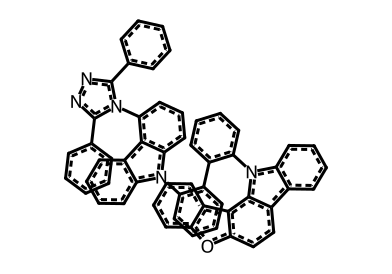 c1ccc(-c2nnc(-c3ccccc3)n2-c2cccc3c2c2ccccc2n3-c2ccccc2-c2ccccc2-n2c3ccccc3c3ccc4oc5ccccc5c4c32)cc1